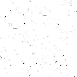 O=C(C[CH]Cc1ccsc1)N1CCCC1c1ncc(-c2ccc(-c3ccc(-c4cnc([C@@H]5CCCN5C(=O)C[CH]Cc5ccsc5)[nH]4)cc3)cc2)[nH]1